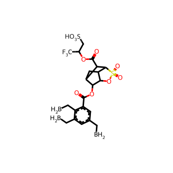 BCc1cc(CB)c(CB)c(C(=O)OC2C3CC4C2OS(=O)(=O)C4C3C(=O)OC(CS(=O)(=O)O)C(F)(F)F)c1